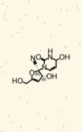 N#C[C@@]1(N2C=CC(O)NC2=O)OC(CO)=C[C@H]1O